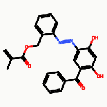 C=C(C)C(=O)OCc1ccccc1N=Nc1cc(C(=O)c2ccccc2)c(O)cc1O